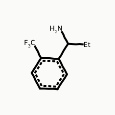 CCC(N)c1ccccc1C(F)(F)F